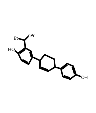 CCCC(CC)c1cc(C2C=CC(c3ccc(O)cc3)CC2)ccc1O